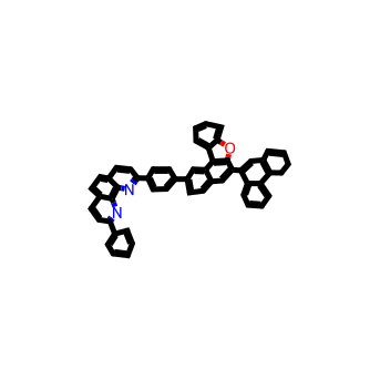 C1=Cc2cc(-c3cc4ccc(-c5ccc(-c6ccc7ccc8ccc(-c9ccccc9)nc8c7n6)cc5)cc4c4c3oc3ccccc34)c3ccccc3c2CC1